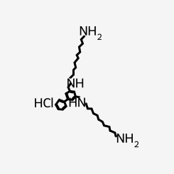 Cl.NCCCCCCCCCCCCNCc1cc(CNCCCCCCCCCCCCN)cc(-c2ccccc2)c1